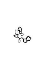 O=C(CC1CCc2ccccc21)C1CCN[C@H]1C(=O)N1CCCC1